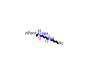 CCCCCC(C)NC(=O)C(N)CCC(=O)NCCCCCC(C)=O